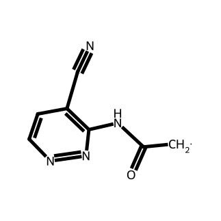 [CH2]C(=O)Nc1nnccc1C#N